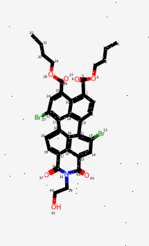 CCCCOC(=O)c1ccc2c3c(Br)cc4c5c(ccc(c6c(Br)cc(C(=O)OCCCC)c1c26)c53)C(=O)N(CCO)C4=O